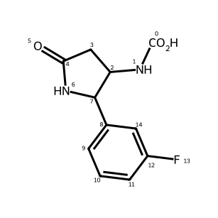 O=C(O)NC1CC(=O)NC1c1cccc(F)c1